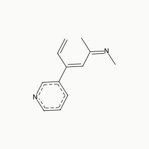 C=C/C(=C\C(C)=N/C)c1cccnc1